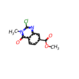 COC(=O)c1ccc2c(=O)n(C)c(Cl)nc2c1